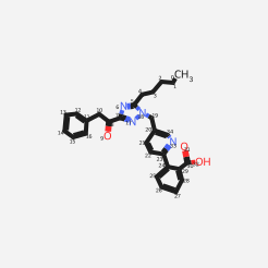 CCCCCc1nc(C(=O)Cc2ccccc2)nn1Cc1ccc(-c2ccccc2C(=O)O)nc1